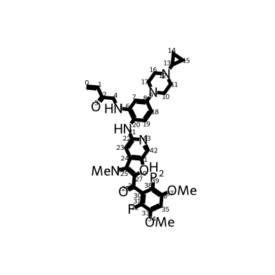 C=CC(=O)CNc1cc(N2CCN(C3CC3)CC2)ccc1Nc1cc2c(NC)c(C(=O)c3c(F)c(OC)cc(OC)c3P)oc2cn1